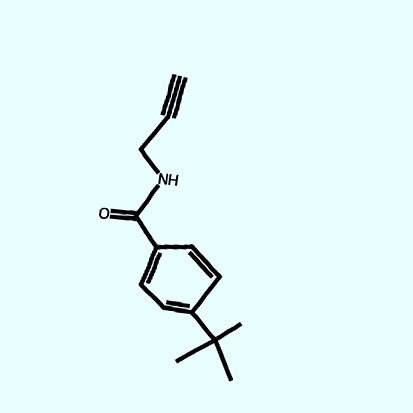 C#CCNC(=O)c1ccc(C(C)(C)C)cc1